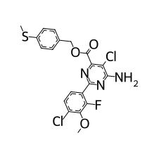 COc1c(Cl)ccc(-c2nc(N)c(Cl)c(C(=O)OCc3ccc(SC)cc3)n2)c1F